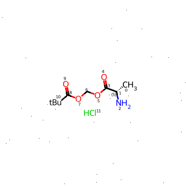 C[C@H](N)C(=O)OCOC(=O)C(C)(C)C.Cl